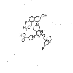 CCc1c(F)ccc2cc(O)cc(N3CCc4c(nc(OC[C@@]56CCCN5C[C@H](F)C6)nc4N4CCC(C(=O)O)C4)C3)c12